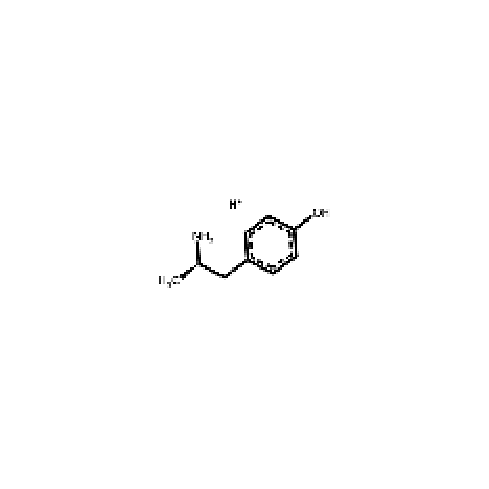 C[C@@H](N)Cc1ccc(O)cc1.[H+]